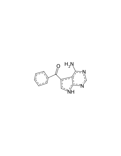 Nc1ncnc2[nH]cc(C(=O)c3ccccc3)c12